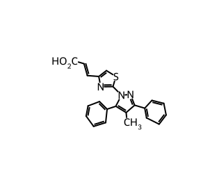 Cc1c(-c2ccccc2)nn(-c2nc(C=CC(=O)O)cs2)c1-c1ccccc1